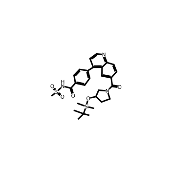 CC(C)(C)[Si](C)(C)OC1CCN(C(=O)c2ccc3nccc(-c4ccc(C(=O)NS(C)(=O)=O)cc4)c3c2)C1